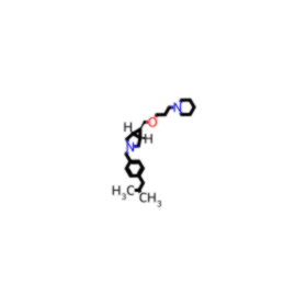 CC(C)Cc1ccc(CN2C[C@@H]3[C@@H](COCCCN4CCCCC4)[C@@H]3C2)cc1